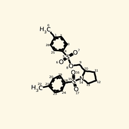 Cc1ccc(S(=O)(=O)OCC2CCCN2S(=O)(=O)c2ccc(C)cc2)cc1